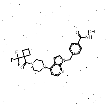 O=C(NO)c1ccc(Cn2ccc3c(N4CCN(C(=O)C5(C(F)(F)F)CCC5)CC4)ccnc32)cc1